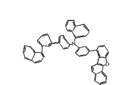 c1cc(-c2ccc(N(c3cccc(-c4cccc5oc6c7ccccc7ccc6c45)c3)c3cccc4ccccc34)cc2)cc(-c2cccc3ccccc23)c1